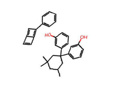 CC1CC(C)(C)CC(c2cccc(O)c2)(c2cccc(O)c2)C1.c1ccc(-c2cc3ccc2-3)cc1